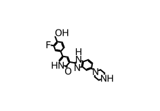 O=c1[nH]cc(-c2ccc(CO)c(F)c2)cc1-c1nc2cc(N3CCNCC3)ccc2[nH]1